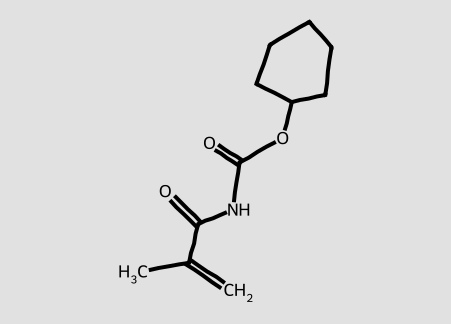 C=C(C)C(=O)NC(=O)OC1CCCCC1